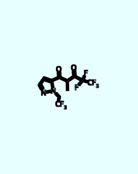 CC(C(=O)c1ccnn1CC(F)(F)F)C(=O)C(F)(F)C(F)(F)F